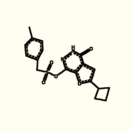 Cc1ccc(CS(=O)(=O)Oc2n[nH]c(=O)c3cc(C4CCC4)oc23)cc1